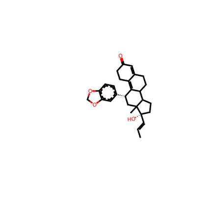 CC=C[C@]1(O)CCC2C3CCC4=CC(=O)CCC4=C3[C@@H](c3ccc4c(c3)OCO4)CC21C